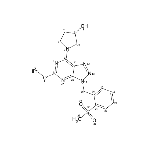 CC(C)Oc1nc(N2CC[C@H](O)C2)c2nnn(Cc3ccccc3S(C)(=O)=O)c2n1